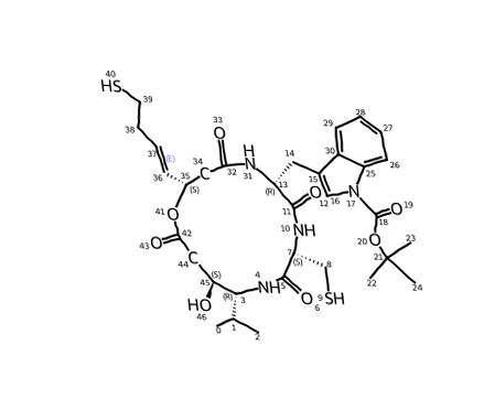 CC(C)[C@H]1NC(=O)[C@@H](CS)NC(=O)[C@@H](Cc2cn(C(=O)OC(C)(C)C)c3ccccc23)NC(=O)C[C@@H](/C=C/CCS)OC(=O)C[C@@H]1O